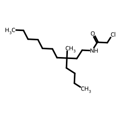 CCCCCCCC(C)(CCCC)CCNC(=O)CCl